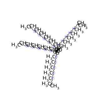 CC(C)=CCC/C(C)=C/CC/C(C)=C/CC/C(C)=C/CC/C(C)=C/CC/C(C)=C/COP(=O)(OC/C=C(\C)CC/C=C(\C)CC/C=C(\C)CC/C=C(\C)CC/C=C(\C)CCC=C(C)C)OP(=O)(OC/C=C(\C)CC/C=C(\C)CC/C=C(\C)CC/C=C(\C)CC/C=C(\C)CCC=C(C)C)OC/C=C(\C)CC/C=C(\C)CC/C=C(\C)CC/C=C(\C)CC/C=C(\C)CCC=C(C)C